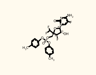 Cc1ccc(OP(=O)(OC[C@@]2(C(F)F)O[C@@H](n3cc(F)c(N)nc3=O)[C@H](O)[C@H]2F)Oc2ccc(C)cc2)cc1